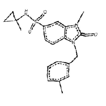 Cc1cccc(Cn2c(=O)n(C)c3cc(S(=O)(=O)NC4(C)CC4)ccc32)c1